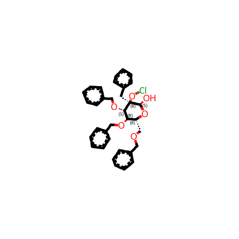 O[C@H]1O[C@H](COCc2ccccc2)[C@@H](OCc2ccccc2)[C@H](OCc2ccccc2)[C@@]1(Cc1ccccc1)OCl